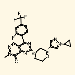 Cn1ncc2c(-c3ccc(C(F)(F)F)cc3F)nc([C@H]3CCO[C@@H](c4cnn(C5CC5)c4)C3)nc2c1=O